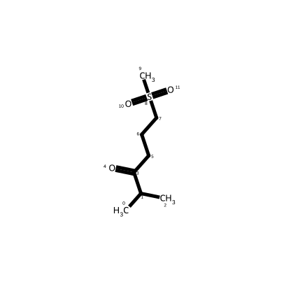 CC(C)C(=O)CCCS(C)(=O)=O